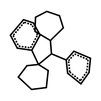 c1ccc(C(C2CCCCC2)C2(c3ccccc3)CCCCC2)cc1